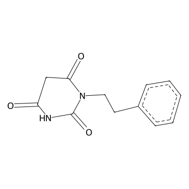 O=C1CC(=O)N(CCc2ccccc2)C(=O)N1